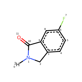 [2H]N1Cc2ccc(F)cc2C1=O